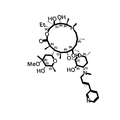 CC[C@H]1OC(=O)[C@H](C)[C@@H](C2C[C@@](C)(OC)[C@@H](O)[C@H](C)O2)[C@H](C)[C@@H](O[C@@H]2O[C@H](C)C[C@H](N(C)C/C=C/c3cccnc3)[C@H]2O)[C@](C)(O)C[C@@H](C)CN(C)[C@H](C)[C@@H](O)[C@]1(C)O